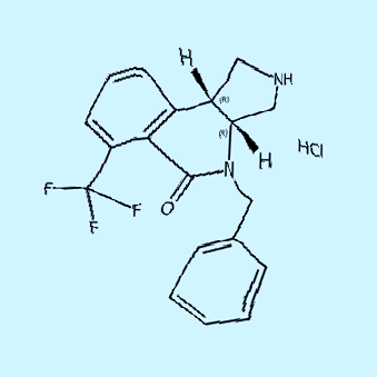 Cl.O=C1c2c(cccc2C(F)(F)F)[C@@H]2CNC[C@@H]2N1Cc1ccccc1